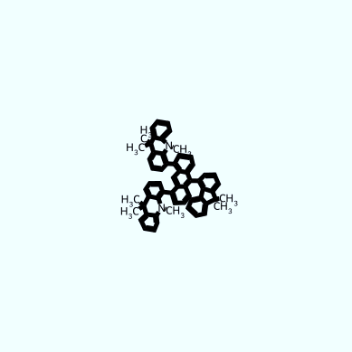 CN1c2ccccc2C(C)(C)c2cccc(-c3cccc4c(-c5cccc6c5-c5ccccc5C6(C)C)c5cccc(-c6cccc7c6N(C)c6ccccc6C7(C)C)c5cc34)c21